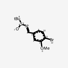 COc1cc(C=N[S+]([O-])C(C)(C)C)ccc1Br